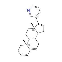 C[C@]12CCC=CC1=CCC1C2CC[C@]2(C)C(c3cccnc3)=CCC12